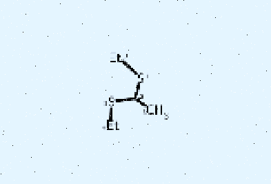 CCS[C](C)SCC